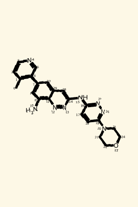 Cc1ccncc1-c1cc(N)c2nnc(Nc3ccc(N4CCOCC4)nn3)cc2c1